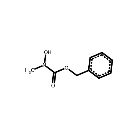 CN(O)C(=O)OCc1ccccc1